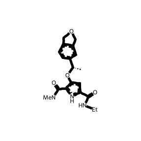 CCNC(=O)c1cc(O[C@@H](C)c2ccc3c(c2)COC3)c(C(=O)NC)[nH]1